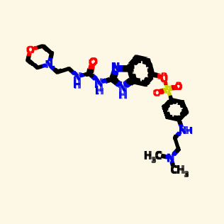 CN(C)CCNc1ccc(S(=O)(=O)Oc2ccc3nc(NC(=O)NCCN4CCOCC4)[nH]c3c2)cc1